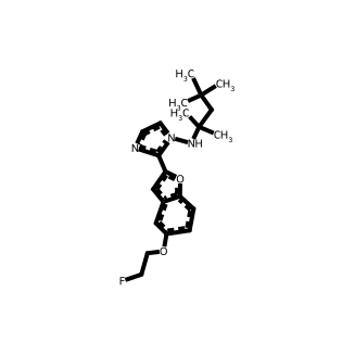 CC(C)(C)CC(C)(C)Nn1ccnc1-c1cc2cc(OCCF)ccc2o1